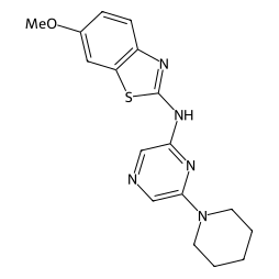 COc1ccc2nc(Nc3cncc(N4CCCCC4)n3)sc2c1